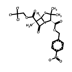 CC1(C)S[C@H]2N(C(=O)[C@@]2(N)C(=O)OCC(Cl)(Cl)Cl)[C@H]1C(=O)OCc1ccc([N+](=O)[O-])cc1